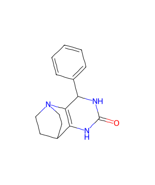 O=C1NC2=C(C(c3ccccc3)N1)N1CCC2CC1